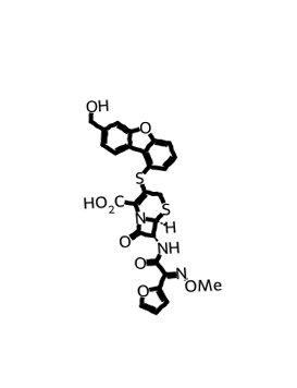 CON=C(C(=O)N[C@@H]1C(=O)N2C(C(=O)O)=C(Sc3cccc4oc5cc(CO)ccc5c34)CS[C@@H]12)c1ccco1